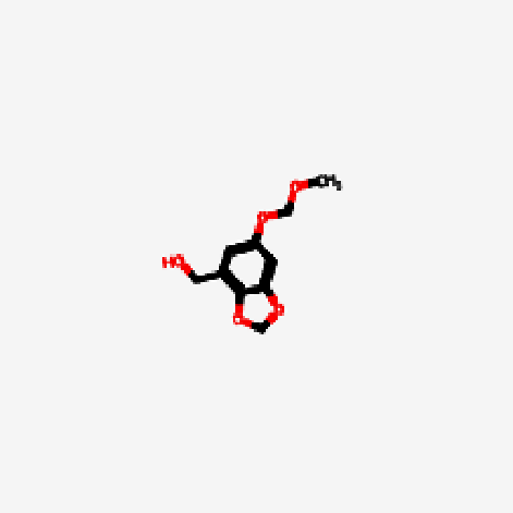 COCOc1cc(CO)c2c(c1)OCO2